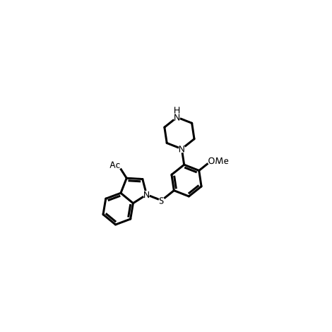 COc1ccc(Sn2cc(C(C)=O)c3ccccc32)cc1N1CCNCC1